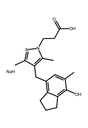 Cc1cc(Cc2c(C)nn(CCC(=O)O)c2C)c2c(c1O)CCC2.[NaH]